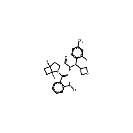 CCNc1ccccc1C(=O)N1[C@@H](C(=O)N[C@@H](c2ccc(C(F)(F)F)cc2F)C2COC2)C[C@H]2CC[C@H]21